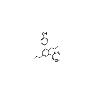 C=CCc1c(/C(N)=N/O)cc(CCC)cc1-c1ccc(O)cc1